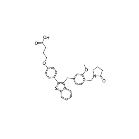 COc1cc(Cc2c(-c3ccc(OCCCC(=O)O)cc3)sc3ccccc23)ccc1CN1CCCC1=O